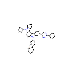 c1ccc(-c2ncc(-c3ccc4c5c6c7ccccc7n(-c7ccccc7)c6ccc5n(-c5ccc6c(c5)sc5ccccc56)c4c3)cn2)cc1